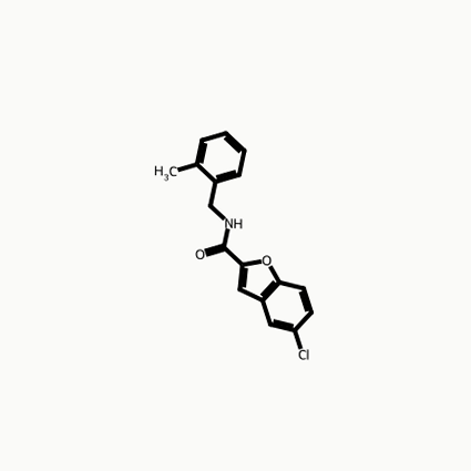 Cc1ccccc1CNC(=O)c1cc2cc(Cl)ccc2o1